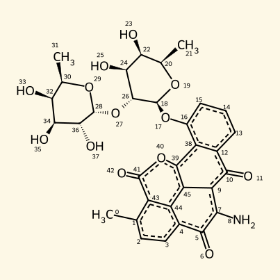 Cc1ccc2c(=O)c(N)c3c(=O)c4cccc(O[C@@H]5O[C@H](C)[C@H](O)[C@H](O)[C@H]5O[C@H]5O[C@H](C)[C@H](O)[C@H](O)[C@H]5O)c4c4oc(=O)c1c2c4-3